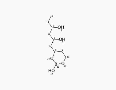 CCC(O)CC(O)CC1CCOB(O)O1